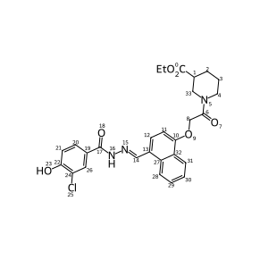 CCOC(=O)C1CCCN(C(=O)COc2ccc(/C=N/NC(=O)c3ccc(O)c(Cl)c3)c3ccccc23)C1